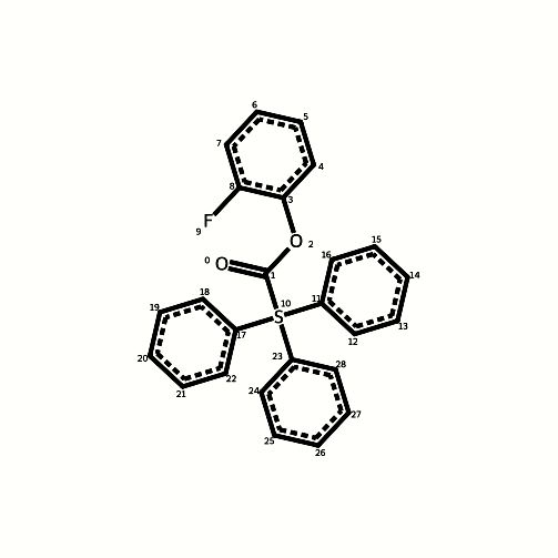 O=C(Oc1ccccc1F)S(c1ccccc1)(c1ccccc1)c1ccccc1